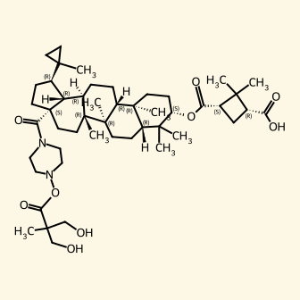 CC(CO)(CO)C(=O)ON1CCN(C(=O)[C@]23CC[C@@H](C4(C)CC4)[C@@H]2[C@H]2CC[C@@H]4[C@@]5(C)CC[C@H](OC(=O)[C@H]6C[C@@H](C(=O)O)C6(C)C)C(C)(C)[C@@H]5CC[C@@]4(C)[C@]2(C)CC3)CC1